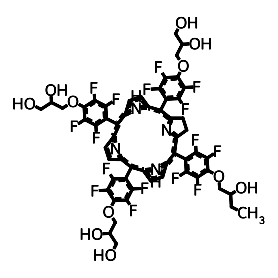 CCC(O)COc1c(F)c(F)c(-c2c3nc(c(-c4c(F)c(F)c(OCC(O)CO)c(F)c4F)c4ccc([nH]4)c(-c4c(F)c(F)c(OCC(O)CO)c(F)c4F)c4nc(c(-c5c(F)c(F)c(OCC(O)CO)c(F)c5F)c5ccc2[nH]5)C=C4)CC3)c(F)c1F